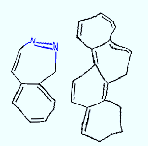 C1=Cc2ccccc2CN=N1.C1=c2ccc3c(c2CCC1)CC=c1ccccc1=3